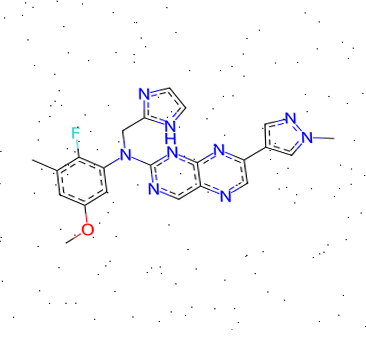 COc1cc(C)c(F)c(N(Cc2ncc[nH]2)c2ncc3ncc(-c4cnn(C)c4)nc3n2)c1